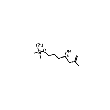 C=C(C)C[C@H](O)CCCO[Si](C)(C)C(C)(C)C